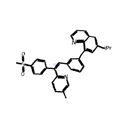 Cc1ccc(/C(=C\c2cccc(-c3cc(C(C)C)cc4cccnc34)c2)c2ccc(S(C)(=O)=O)cc2)nc1